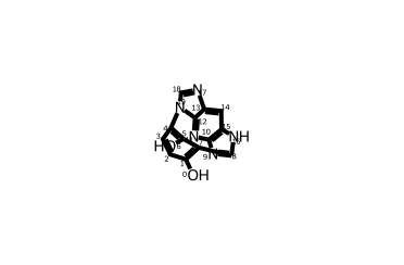 Oc1ccc2c(O)c1c1nc3nc4c(cc3[nH]1)ncn24